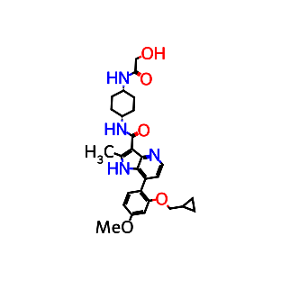 COc1ccc(-c2ccnc3c(C(=O)N[C@H]4CC[C@@H](NC(=O)CO)CC4)c(C)[nH]c23)c(OCC2CC2)c1